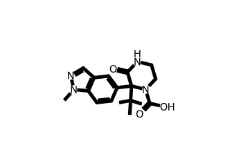 Cn1ncc2cc(C3(C(C)(C)C)C(=O)NCCN3C(=O)O)ccc21